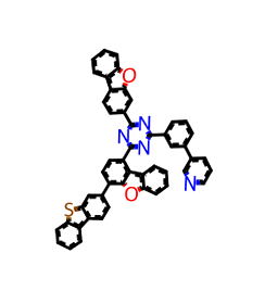 c1cncc(-c2cccc(-c3nc(-c4ccc5c(c4)oc4ccccc45)nc(-c4ccc(-c5ccc6c(c5)sc5ccccc56)c5oc6ccccc6c45)n3)c2)c1